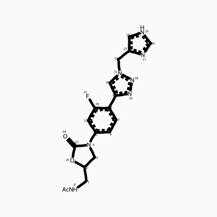 CC(=O)NCC1CN(c2ccc(-c3cn(Cc4c[nH]cn4)nn3)c(F)c2)C(=O)O1